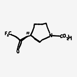 O=C(O)N1CC[C@H](C(=O)C(F)(F)F)C1